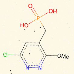 COc1nnc(Cl)cc1CP(=O)(O)O